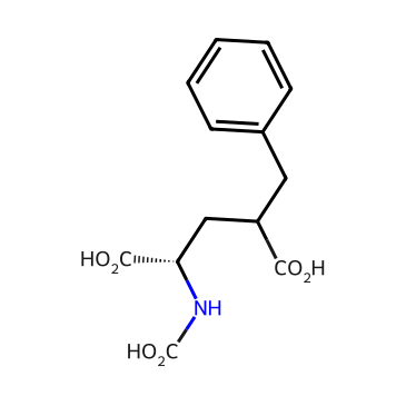 O=C(O)N[C@@H](CC(Cc1ccccc1)C(=O)O)C(=O)O